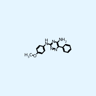 COc1ccc(Nc2nnc(-c3ccccc3)c(N)n2)cc1